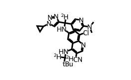 [2H]C(Nc1cc(Cl)c2ncc(C#N)c(NC([2H])([2H])C(C)(C)C)c2c1)(c1ccc(N(C)C)nc1)c1cn(C2CC2)nn1